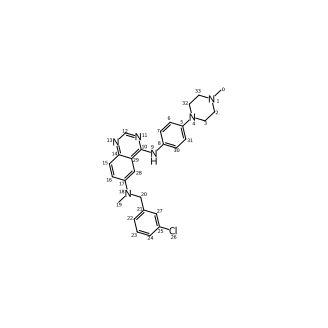 CN1CCN(c2ccc(Nc3ncnc4ccc(N(C)Cc5cccc(Cl)c5)cc34)cc2)CC1